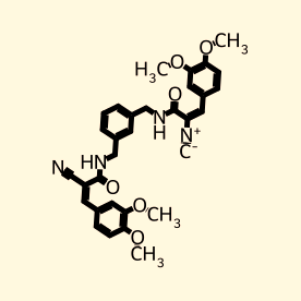 [C-]#[N+]/C(=C/c1ccc(OC)c(OC)c1)C(=O)NCc1cccc(CNC(=O)/C(C#N)=C\c2ccc(OC)c(OC)c2)c1